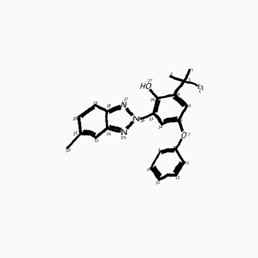 CCC(C)(C)c1cc(Oc2ccccc2)cc(-n2nc3ccc(C)cc3n2)c1O